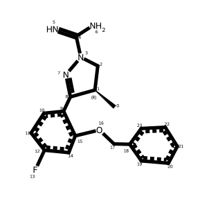 C[C@@H]1CN(C(=N)N)N=C1c1ccc(F)cc1OCc1ccccc1